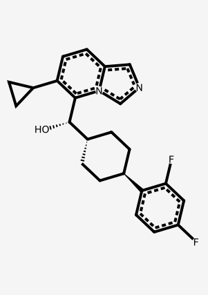 O[C@H](c1c(C2CC2)ccc2cncn12)[C@H]1CC[C@H](c2ccc(F)cc2F)CC1